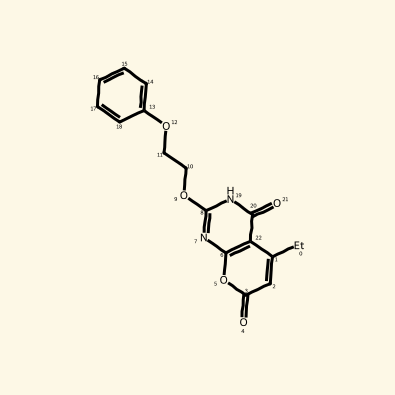 CCc1cc(=O)oc2nc(OCCOc3ccccc3)[nH]c(=O)c12